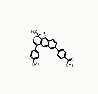 COC(=O)c1ccc(-c2ccc3cc4c(cc3c2)C(c2ccc(OC)cc2)=CCC4(C)C)cc1